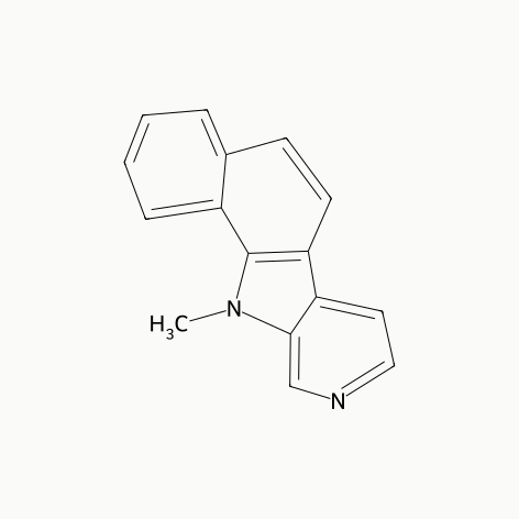 Cn1c2cnccc2c2ccc3ccccc3c21